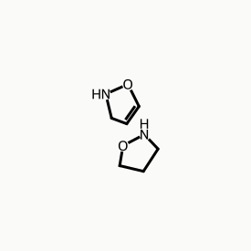 C1=CONC1.C1CNOC1